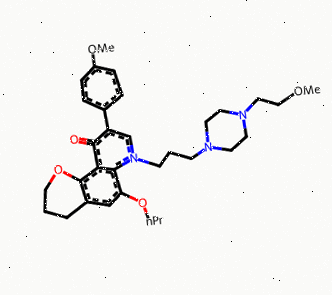 CCCOc1cc2c(c3c(=O)c(-c4ccc(OC)cc4)cn(CCCN4CCN(CCOC)CC4)c13)OCCC2